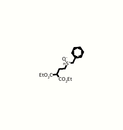 CCOC(=O)C(CC[S@+]([O-])Cc1ccccc1)C(=O)OCC